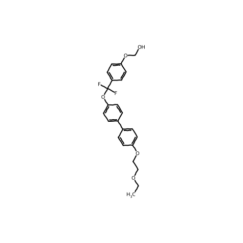 CCOCCOc1ccc(-c2ccc(OC(F)(F)c3ccc(OCO)cc3)cc2)cc1